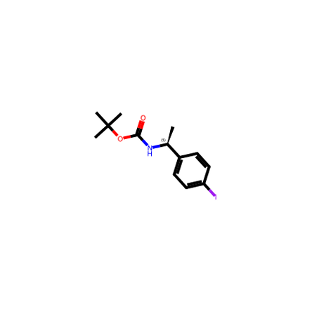 C[C@H](NC(=O)OC(C)(C)C)c1ccc(I)cc1